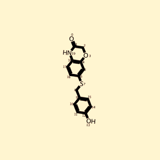 O=C1COc2cc(SCc3ccc(O)cc3)ccc2N1